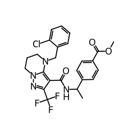 COC(=O)c1ccc(C(C)NC(=O)c2c(C(F)(F)F)nn3c2N(Cc2ccccc2Cl)CCC3)cc1